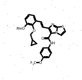 COc1cccc(/C=C/c2nc3sccn3c2C(=O)Nc2ccc(OC(F)(F)F)cc2)c1OCC1CC1